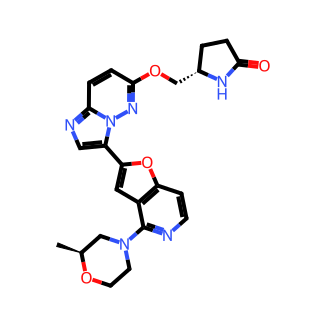 C[C@H]1CN(c2nccc3oc(-c4cnc5ccc(OC[C@@H]6CCC(=O)N6)nn45)cc23)CCO1